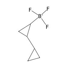 F[B-](F)(F)C1CC1C1CC1